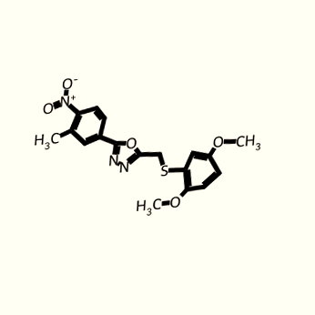 COc1ccc(OC)c(SCc2nnc(-c3ccc([N+](=O)[O-])c(C)c3)o2)c1